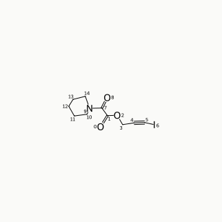 O=C(OCC#CI)C(=O)N1CCCCC1